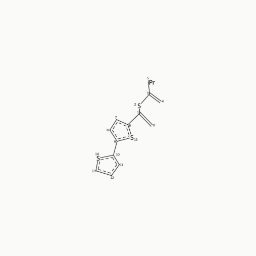 C=C(SC(=C)C(C)C)c1ccc(-c2cccs2)s1